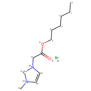 CCCCCCOC(=O)CN1[C+]N(C)C=C1.[Br-]